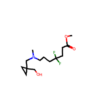 COC(=O)CCC(F)(F)CCCN(C)CC1(CO)CC1